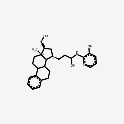 C[C@]12CCC3c4ccccc4CCC3C1[C@H](CCC(O)Nc1ncccc1O)C/C2=N\O